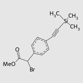 COC(=O)C(Br)c1ccc(C#C[Si](C)(C)C)cc1